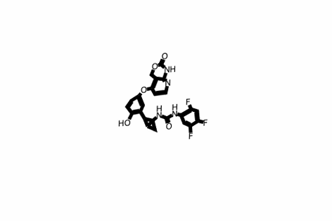 O=C(Nc1cc(F)c(F)cc1F)NC12CC1C2c1cc(Oc2ccnc3c2COC(=O)N3)ccc1O